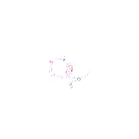 CCCCCCC1CCC(c2ccc(C(=O)NC(Cc3c[nH]c4ccccc34)C(=O)N[C@H](CC(N)=O)C(=O)N[C@@H](CC(=O)O)C(=O)N[C@@H]3C(=O)NCC(=O)N[C@@H](CCCN)C(=O)N[C@@H](CC=O)C(=O)N[C@H](C)C(=O)N[C@@H](CC(=O)O)C(=O)NCC(=O)N[C@H](CO)C(=O)N[C@@H]([C@H](C)CC(=O)O)C(=O)NC(C(=O)c4ccccc4N)C(=O)O[C@@H]3C)cc2)CC1